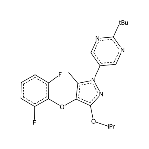 Cc1c(Oc2c(F)cccc2F)c(OC(C)C)nn1-c1cnc(C(C)(C)C)nc1